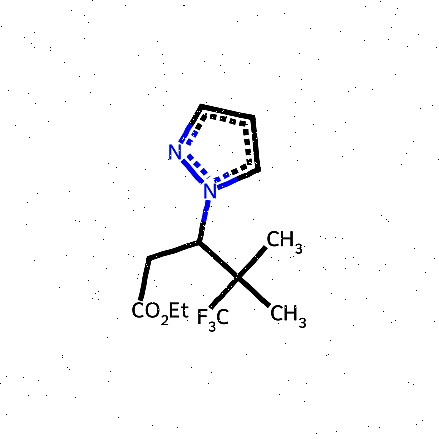 CCOC(=O)CC(n1cccn1)C(C)(C)C(F)(F)F